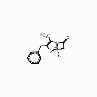 O=C(O)C1=C(Cc2ccccc2)S[C@@H]2CC(=O)N12